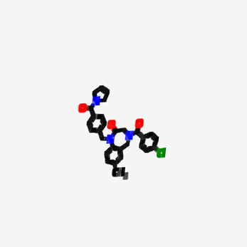 Cc1ccc2c(c1)CN(C(=O)c1ccc(Cl)cc1)CC(=O)N2Cc1ccc(C(=O)N2CC=CC2)cc1